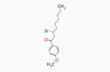 CCCCCCC(Br)CC(=O)c1ccc(OC)cc1